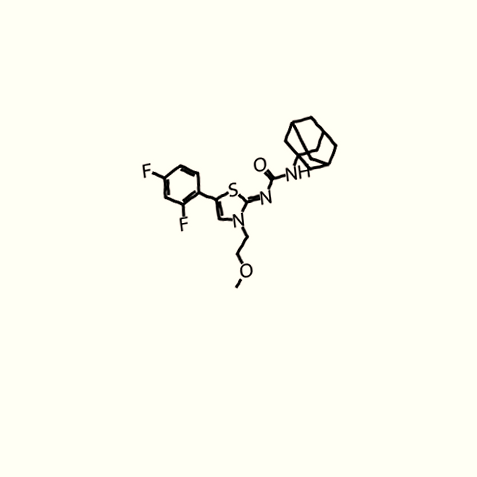 COCCn1cc(-c2ccc(F)cc2F)s/c1=N\C(=O)NC12CC3CC(CC(C3)C1)C2